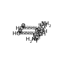 Nc1c(I)cc(I)c(C(CCCCCCCCCCC(=O)O)C(O)C(=O)C(O)C(CCCCCCCCCCC(=O)O)c2c(I)cc(I)c(N)c2I)c1I